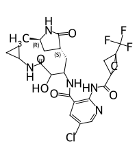 C[C@@H]1C[C@@H](CC(NC(=O)c2cc(Cl)cnc2NC(=O)C23CC(C(F)(F)F)(C2)C3)C(O)C(=O)NC2CC2)C(=O)N1